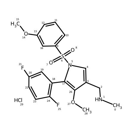 CNCc1cn(S(=O)(=O)c2cccc(OC)c2)c(-c2cc(F)ccc2F)c1OC.Cl